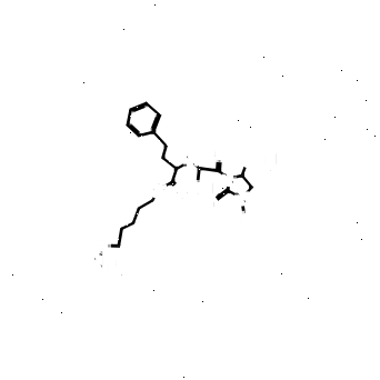 CC(NC(CCc1ccccc1)C(=O)OCCCCCO[N+](=O)[O-])C(=O)N1C(=O)N(C)CC1C(=O)O